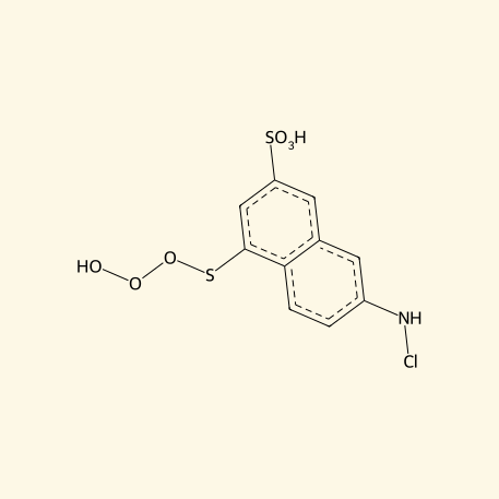 O=S(=O)(O)c1cc(SOOO)c2ccc(NCl)cc2c1